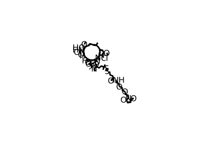 COc1cc2cc(c1Cl)N(C)C(=O)[C@H](OC(=O)[C@H](C)N(C)C(=O)CCC(C)(C)SSCCCC(=O)NCCOCCOCCN1C(=O)C=CC1=O)[C@]1(C)O[C@H]1[C@H](C)[C@@H]1C[C@@](O)(NC(=O)O1)[C@H](OC)/C=C/C=C(\C)C2